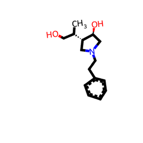 CC(CO)[C@H]1CN(CCc2ccccc2)C[C@@H]1O